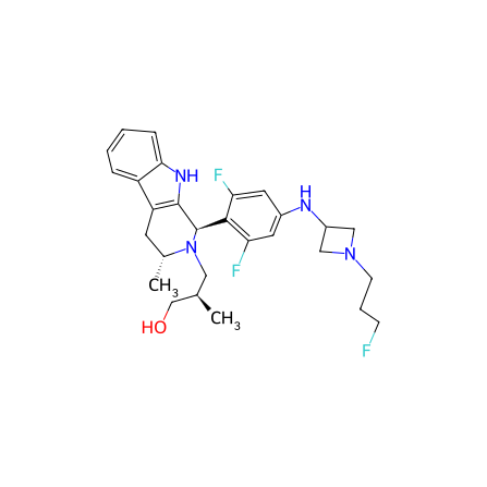 C[C@@H](CO)CN1[C@H](c2c(F)cc(NC3CN(CCCF)C3)cc2F)c2[nH]c3ccccc3c2C[C@H]1C